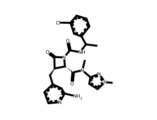 CC(NC(=O)N1C(=O)[C@H](Cc2ccnc(N)c2)[C@H]1C(=O)N(C)c1ccn(C)n1)c1cccc(Cl)c1